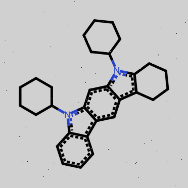 c1ccc2c(c1)c1cc3c4c(n(C5CCCCC5)c3cc1n2C1CCCCC1)CCCC4